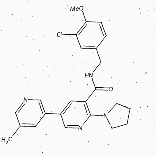 COc1ccc(CNC(=O)c2cc(-c3cncc(C)c3)cnc2N2CCCC2)cc1Cl